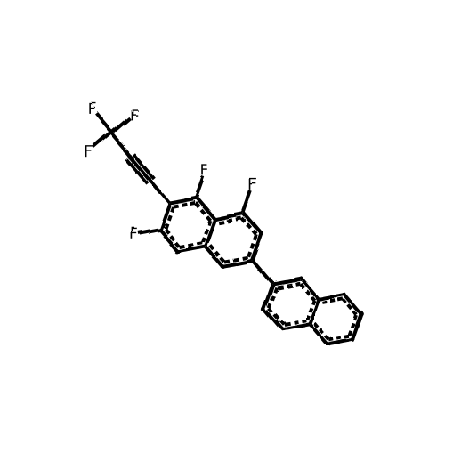 Fc1cc2cc(-c3ccc4ccccc4c3)cc(F)c2c(F)c1C#CC(F)(F)F